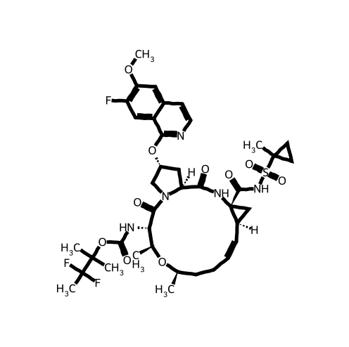 COc1cc2ccnc(O[C@@H]3C[C@H]4C(=O)N[C@]5(C(=O)NS(=O)(=O)C6(C)CC6)C[C@H]5/C=C\CC[C@@H](C)O[C@@H](C)[C@H](NC(=O)OC(C)(C)C(C)(F)F)C(=O)N4C3)c2cc1F